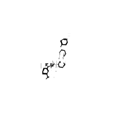 CC(=O)c1cccc(NC(=O)N[C@@H]2[C@@H](F)CCO[C@@H]2CN2CCC[C@H](Cc3ccc(F)cc3)C2)c1